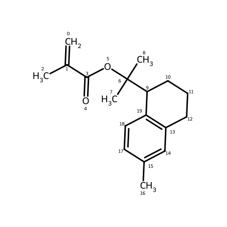 C=C(C)C(=O)OC(C)(C)C1CCCc2cc(C)ccc21